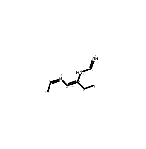 B=CN/C(=C\N=C/C)CC